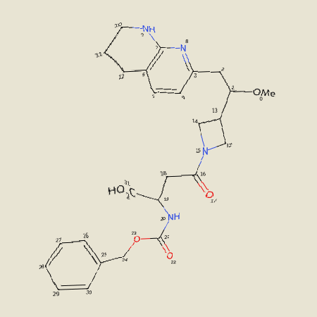 COC(Cc1ccc2c(n1)NCCC2)C1CN(C(=O)CC(NC(=O)OCc2ccccc2)C(=O)O)C1